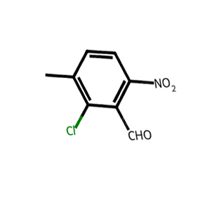 Cc1ccc([N+](=O)[O-])c(C=O)c1Cl